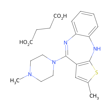 Cc1cc2c(s1)Nc1ccccc1N=C2N1CCN(C)CC1.O=C(O)CCC(=O)O